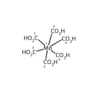 O=[C](O)[Mo]([C](=O)O)([C](=O)O)([C](=O)O)([C](=O)O)[C](=O)O